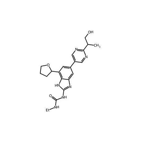 CCNC(=O)Nc1nc2cc(-c3cnc(C(C)CO)nc3)cc(C3CCCO3)c2[nH]1